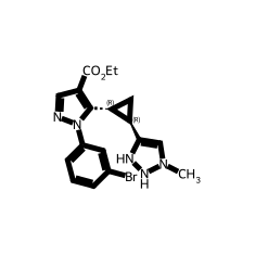 CCOC(=O)c1cnn(-c2cccc(Br)c2)c1[C@@H]1C[C@H]1C1=CN(C)NN1